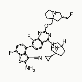 N#Cc1c(N)sc2c(F)ccc(-c3ccc4c(N5C[C@@H]6CC[C@](C7CC7)(C5)N6)nc(OC[C@@]56CCCN5C/C(=C\F)C6)nc4c3F)c12